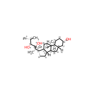 CC(C)[C@H](C)[C@@H](O)[C@H](O)[C@@H](C)[C@H]1CC[C@H]2[C@@H]3CC[C@H]4C[C@@H](O)CC[C@]4(C)[C@H]3CC[C@]12C